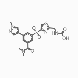 CN(C)C(=O)c1cc(-c2cnn(C)c2)cc(S(=O)(=O)c2csc(CNC(=O)O)n2)c1